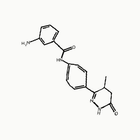 CC1CC(=O)NN=C1c1ccc(NC(=O)c2cccc(N)c2)cc1